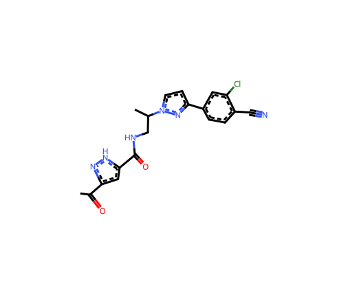 CC(=O)c1cc(C(=O)NCC(C)n2ccc(-c3ccc(C#N)c(Cl)c3)n2)[nH]n1